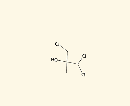 CC(O)(CCl)C(Cl)Cl